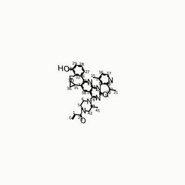 C=CC(=O)N1CCN(c2nc(=O)n(-c3c(C)ccnc3C(C)C)c3nc(-c4cccc(O)c4F)c(C4CC4)cc23)[C@@H](C)C1